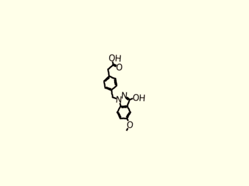 COc1ccc2c(c1)c(O)nn2Cc1ccc(CC(=O)O)cc1